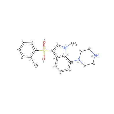 Cn1cc(S(=O)(=O)c2ccccc2C#N)c2cccc(N3CCNCC3)c21